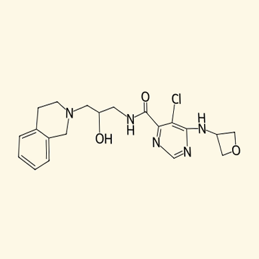 O=C(NCC(O)CN1CCc2ccccc2C1)c1ncnc(NC2COC2)c1Cl